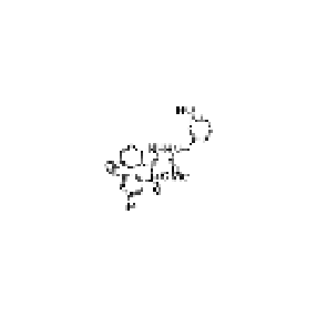 COP(=O)(c1cc(C#N)cc(C(C)C)c1)c1c(C(=O)NCc2ccc[n+](O)c2)[nH]c2ccc(Cl)cc12